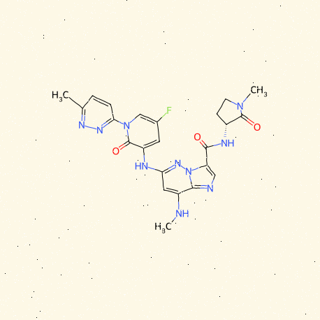 CNc1cc(Nc2cc(F)cn(-c3ccc(C)nn3)c2=O)nn2c(C(=O)N[C@@H]3CCN(C)C3=O)cnc12